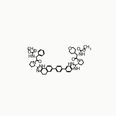 COC(=O)N[C@H](C(=O)N1CCC[C@H]1C1Nc2ccc(-c3ccc(-c4ccc5c(c4)CCc4nc([C@@H]6CCCN6C(=O)[C@H](NC(=O)OC)c6ccccc6)[nH]c4-5)cc3)cc2N1)C1CCOCC1